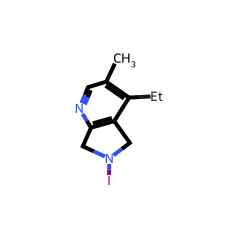 CCc1c(C)cnc2c1CN(I)C2